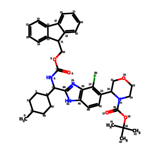 CC1CCC(C(NC(=O)OCC2c3ccccc3-c3ccccc32)c2nc3c(F)c(C4COCCN4C(=O)OC(C)(C)C)ccc3[nH]2)CC1